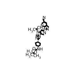 CC(C)Nc1cc(-n2ncc3cc(C#N)cnc32)ncc1-n1cc([C@H]2CC[C@H](NC(=O)OC(C)(C)C)CC2)nn1